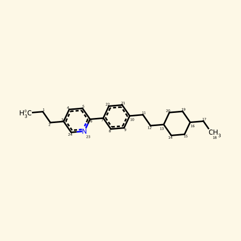 CCCc1ccc(-c2ccc(CCC3CCC(CC)CC3)cc2)nc1